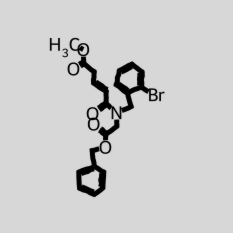 COC(=O)CC=CC(=O)N(CC(=O)OCc1ccccc1)Cc1ccccc1Br